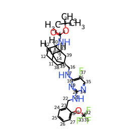 CC(C)(C)OC(=O)N[C@H]1[C@@H]2CC3C[C@H]1C[C@@](CNc1nc(NCc4ccccc4OC(F)(F)F)ncc1F)(C3)C2